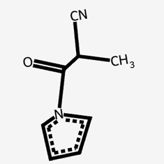 CC(C#N)C(=O)n1cccc1